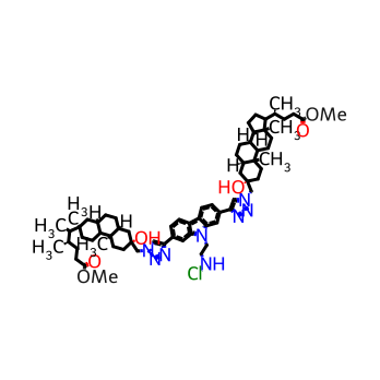 COC(=O)CC[C@@H](C)C(C)C1(C)CCC2[C@@H](CC[C@@H]3C[C@](O)(Cn4cc(-c5ccc6c7ccc(-c8cn(C[C@]9(O)CCC%10(C)C%11CCC%12(C)C([C@H](C)CCC(=O)OC)CC[C@H]%12[C@@H]%11CC[C@@H]%10C9)nn8)cc7n(CCNCl)c6c5)nn4)CCC23C)C1